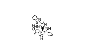 C=C1[C@@H](CO)CC(Nc2nc(N[C@@H](C3=CSCC3)C(F)(F)F)nc(C)c2-c2nc3ccccc3s2)[C@@H]1O